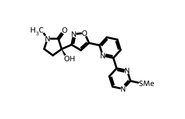 CSc1nccc(-c2cccc(-c3cc([C@]4(O)CCN(C)C4=O)no3)n2)n1